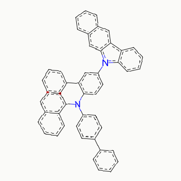 c1ccc(-c2ccc(N(c3ccc(-n4c5ccccc5c5cc6ccccc6cc54)cc3-c3ccccc3)c3cccc4ccccc34)cc2)cc1